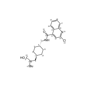 CC(C)(C)N(C[C@H]1CC[C@H](CNC(=O)c2cc(Cl)nc3ccccc23)CC1)C(=O)O